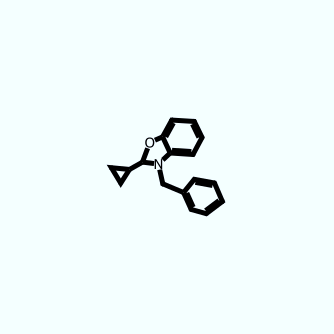 c1ccc(CN2c3ccccc3OC2C2CC2)cc1